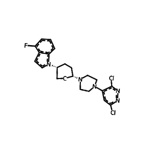 Fc1cccc2c1ccn2[C@H]1CC[C@@H](N2CCN(c3cc(Cl)nnc3Cl)CC2)CC1